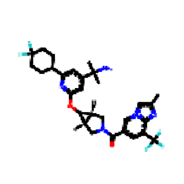 Cc1cn2cc(C(=O)N3C[C@@H]4C(Oc5cc(C(C)(C)N)cc(C6CCC(F)(F)CC6)n5)[C@@H]4C3)cc(C(F)(F)F)c2n1